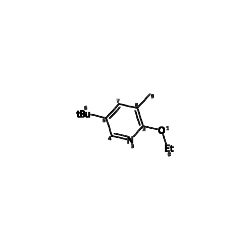 CCOc1ncc(C(C)(C)C)cc1C